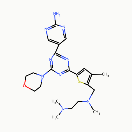 Cc1cc(-c2nc(-c3cnc(N)nc3)nc(N3CCOCC3)n2)sc1CN(C)CCN(C)C